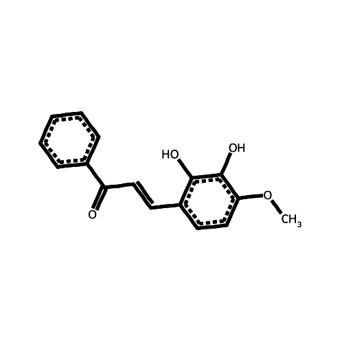 COc1ccc(C=CC(=O)c2ccccc2)c(O)c1O